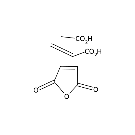 C=CC(=O)O.CC(=O)O.O=C1C=CC(=O)O1